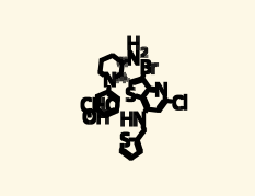 N[C@@H]1CCCN(c2ccccc2)[C@H]1c1sc2c(NCc3cccs3)cc(Cl)nc2c1Br.O=CO